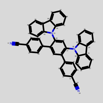 N#Cc1ccc(-c2cc(-c3ccc(C#N)cc3)c(-n3c4ccccc4c4ccccc43)cc2-n2c3ccccc3c3ccccc32)cc1